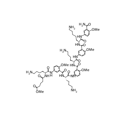 COC(=O)CCCC(=O)N[C@@H](CCCCN)C(=O)Nc1ccc(OC)c(C(=O)N[C@@H](CCCCN)C(=O)Nc2ccc(OC)c(C(=O)N[C@@H](CCCCN)C(=O)Nc3ccc(OC)c(C(=O)N[C@@H](CCCCCN)C(=O)Nc4ccc(OC)c(C(N)=O)c4)c3)c2)c1